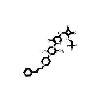 C[C@@H]1CN(c2ncc(Nc3c(NCC(F)(F)F)c(=O)c3=O)cc2Cl)[C@@H](C)CN1C1CCN(C/C=C/c2ccccc2)CC1